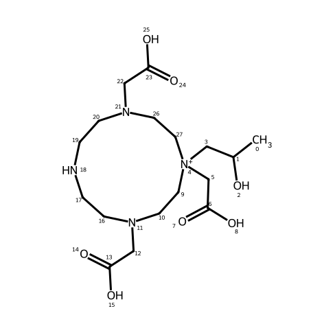 CC(O)C[N+]1(CC(=O)O)CCN(CC(=O)O)CCNCCN(CC(=O)O)CC1